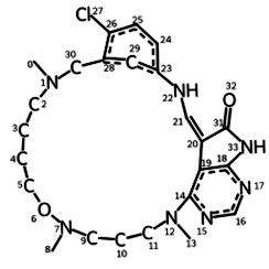 CN1CCCCON(C)CCCN(C)c2ncnc3c2/C(=C/Nc2ccc(Cl)c(c2)C1)C(=O)N3